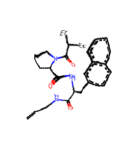 C=CCNC(=O)[C@H](Cc1ccc2ccccc2c1)NC(=O)C1CCCN1C(=O)C(CC)CC